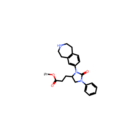 CC(C)OC(=O)CCC1CN(c2ccccc2)C(=O)N1c1ccc2c(c1)CCNCC2